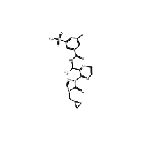 CC(NC(=O)c1cc(Br)cc(S(C)(=O)=O)c1)c1nccnc1-n1ncn(CC2CC2)c1=O